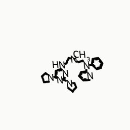 CN(CCNc1cc(N2CCCC2)nc(N2CCCC2)n1)CCN(c1ccccc1)c1ccccn1